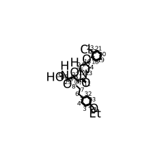 CCOc1ccc(CCC[C@@H](C(=O)N2CCC(Oc3ccccc3Cl)CC2)[C@H](O)C(=O)NO)cc1